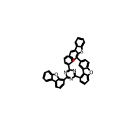 c1ccc(-c2nc(-c3cccc4c3oc3ccccc34)nc(-c3cccc4oc5ccc(-c6cccc7c6sc6ccccc67)cc5c34)n2)cc1